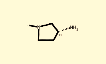 [CH2]N1CC[C@@H](N)C1